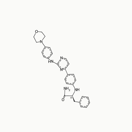 NC(=O)[C@H](Cc1ccccc1)Nc1ccc(-c2ccnc(Nc3ccc(N4CCOCC4)cc3)n2)cc1